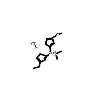 CCC1=CC[C]([Zr+2]([C]2=CC(CC)=CC2)=[Si](C)C)=C1.[Cl-].[Cl-]